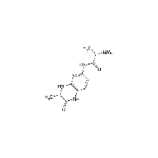 CNC(C)C(=O)Nc1ccc2c(n1)NC(C)C(=O)N2